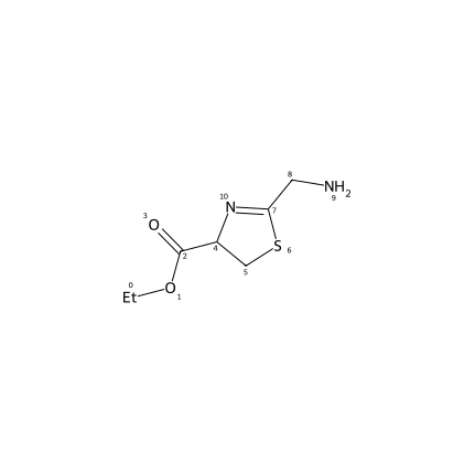 CCOC(=O)C1CSC(CN)=N1